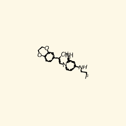 C/C(=C\n1ccc(NCCF)cc1=N)c1ccc2c(c1)OCCO2